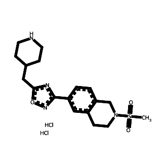 CS(=O)(=O)N1CCc2cc(-c3noc(CC4CCNCC4)n3)ccc2C1.Cl.Cl